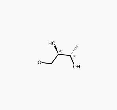 C[C@H](O)[C@H](O)C[O]